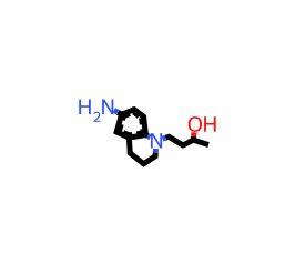 CC(O)CCN1CCCc2cc(N)ccc21